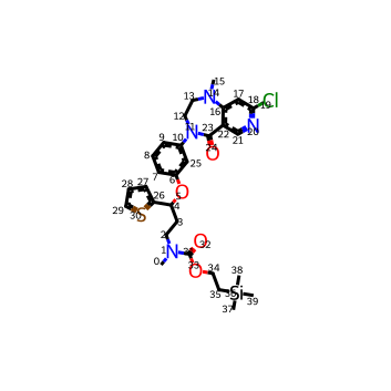 CN(CCC(Oc1cccc(N2CCN(C)c3cc(Cl)ncc3C2=O)c1)c1cccs1)C(=O)OCC[Si](C)(C)C